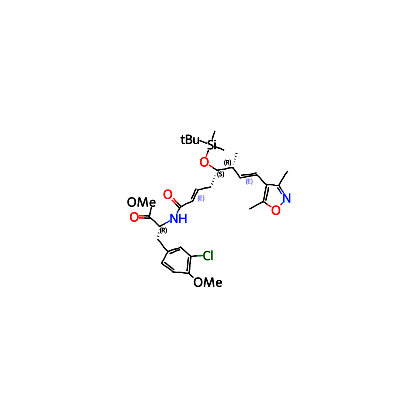 COC(=O)[C@@H](Cc1ccc(OC)c(Cl)c1)NC(=O)/C=C/C[C@H](O[Si](C)(C)C(C)(C)C)[C@H](C)/C=C/c1c(C)noc1C